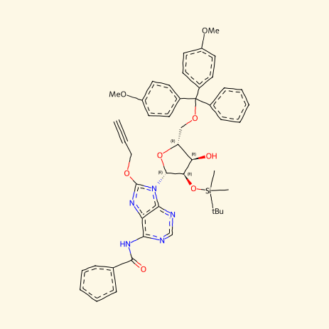 C#CCOc1nc2c(NC(=O)c3ccccc3)ncnc2n1[C@@H]1O[C@H](COC(c2ccccc2)(c2ccc(OC)cc2)c2ccc(OC)cc2)[C@@H](O)[C@H]1O[Si](C)(C)C(C)(C)C